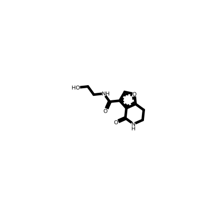 O=C(NCCO)c1coc2c1C(=O)NCC2